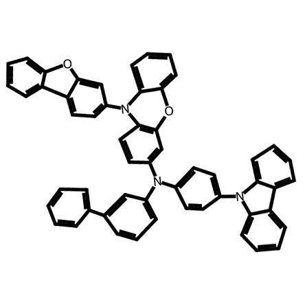 c1ccc(-c2cccc(N(c3ccc(-n4c5ccccc5c5ccccc54)cc3)c3ccc4c(c3)Oc3ccccc3N4c3ccc4c(c3)oc3ccccc34)c2)cc1